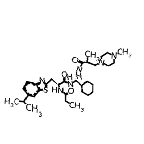 CCC(=O)N[C@@H](Cc1nc2ccc(C(C)C)cc2s1)C(=O)N[C@H](CNC(=O)C(C)CN1CCN(C)CC1)C1CCCCC1